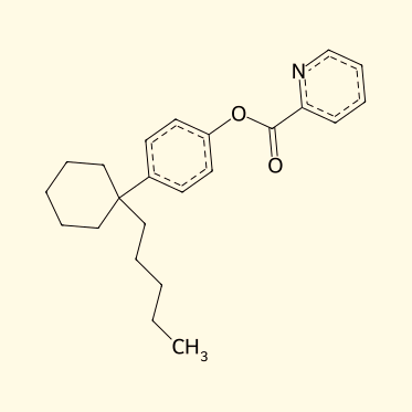 CCCCCC1(c2ccc(OC(=O)c3ccccn3)cc2)CCCCC1